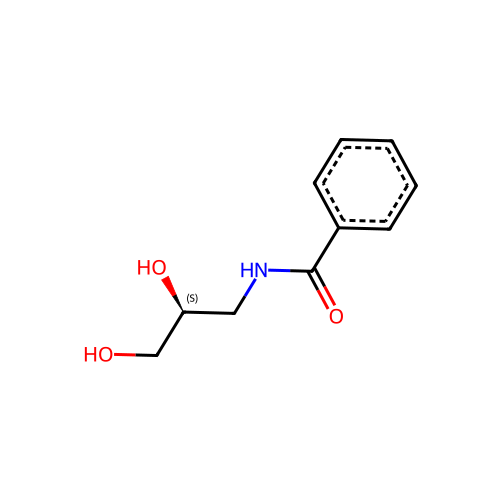 O=C(NC[C@H](O)CO)c1ccccc1